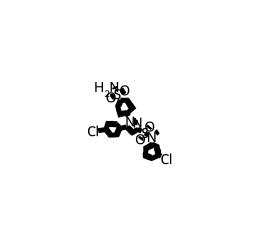 CN(c1cccc(Cl)c1)S(=O)(=O)c1cc(-c2ccc(Cl)cc2)n(-c2ccc(S(N)(=O)=O)cc2)n1